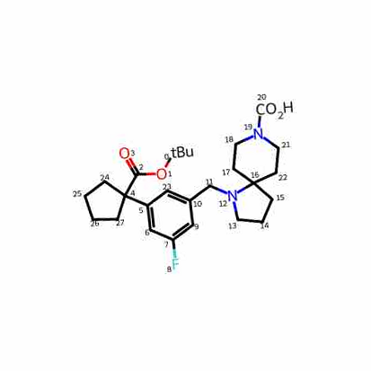 CC(C)(C)OC(=O)C1(c2cc(F)cc(CN3CCCC34CCN(C(=O)O)CC4)c2)CCCC1